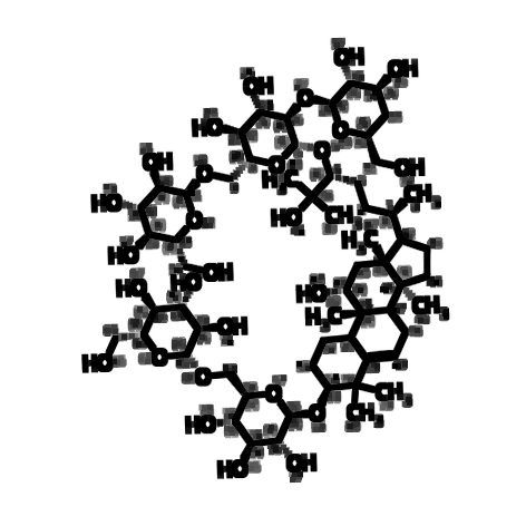 C[C@H](CC[C@@H](O[C@@H]1O[C@H](CO[C@H]2O[C@H](CO)[C@@H](O)[C@H](O)[C@H]2O)[C@@H](O)[C@H](O)[C@H]1O[C@@H]1O[C@H](CO)C[C@H](O)[C@H]1O)C(C)(C)O)C1CC[C@@]2(C)C3CC=C4C(CC[C@H](O[C@@H]5O[C@H](CO[C@@H]6O[C@H](CO)[C@@H](O)[C@H](O)[C@H]6O)[C@@H](O)[C@H](O)[C@H]5O)C4(C)C)[C@]3(C)[C@H](O)C[C@]12C